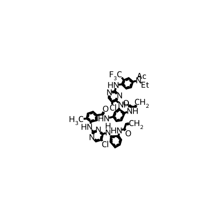 C=CC(=O)Nc1ccccc1Nc1nc(Nc2cc(C(=O)Nc3ccc(NC(=O)C=C)c(Nc4nc(Nc5ccc(N(CC)C(C)=O)cc5C(F)(F)F)ncc4Cl)c3)ccc2C)ncc1Cl